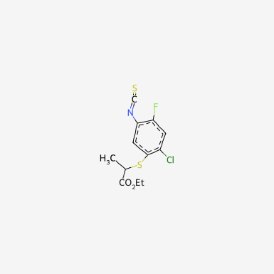 CCOC(=O)C(C)Sc1cc(N=C=S)c(F)cc1Cl